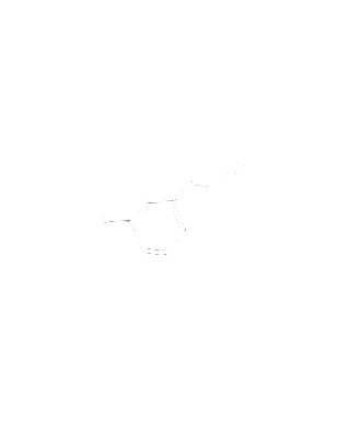 COONc1cccc(C)c1